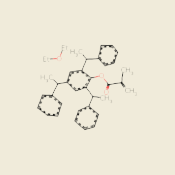 C=C(C)C(=O)Oc1c(C(C)c2ccccc2)cc(C(C)c2ccccc2)cc1C(C)c1ccccc1.CCOCC